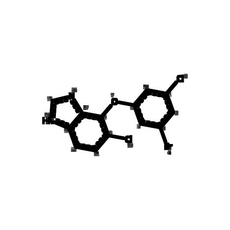 Clc1cc(Br)cc(Oc2c(Cl)ccc3[nH]cnc23)c1